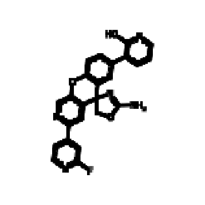 NC1=NC2(CO1)c1cc(-c3cccnc3O)ccc1Oc1cnc(-c3ccnc(F)c3)cc12